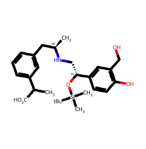 CC(C(=O)O)c1cccc(C[C@@H](C)NC[C@@H](O[Si](C)(C)C(C)(C)C)c2ccc(O)c(CO)c2)c1